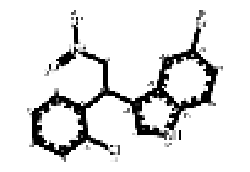 O=[N+]([O-])CC(c1ccccc1Cl)c1c[nH]c2ccc(Br)cc12